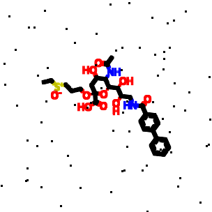 CC[S+]([O-])CCCO[C@]1(C(=O)O)CC(O)[C@@H](NC(C)=O)[C@H]([C@H](O)[C@H](O)CNC(=O)c2ccc(-c3ccccc3)cc2)O1